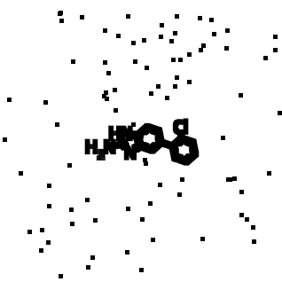 Nc1nc2cc(-c3ccccc3Cl)ccc2[nH]1